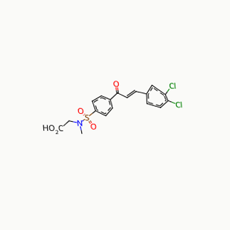 CN(CC(=O)O)S(=O)(=O)c1ccc(C(=O)/C=C/c2ccc(Cl)c(Cl)c2)cc1